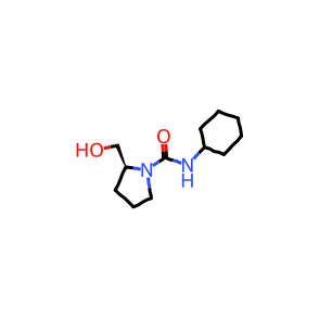 O=C(NC1CCCCC1)N1CCC[C@H]1CO